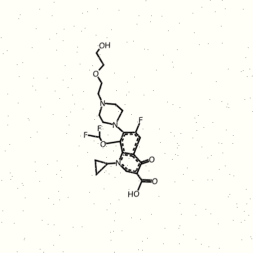 O=C(O)c1cn(C2CC2)c2c(OC(F)F)c(N3CCN(CCOCCO)CC3)c(F)cc2c1=O